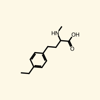 CCc1ccc(CCC(NC)C(=O)O)cc1